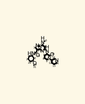 CNc1cc(Nc2cccn(-c3cccnc3)c2=O)nc2c(C(=O)N[C@H]3CCC[C@H](OC)C3)cnn12